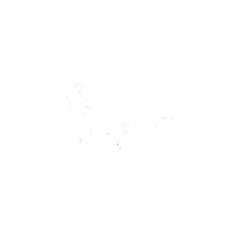 CCCCCCCC1CCC(CC(O)[C@@H](O)CC[C@@H](CC[C@H]2CC[C@@H](C)CC2)C(C)C)CC1